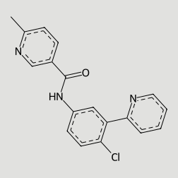 Cc1ccc(C(=O)Nc2ccc(Cl)c(-c3ccccn3)c2)cn1